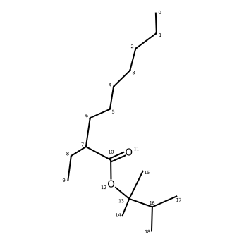 CCCCCCCC(CC)C(=O)OC(C)(C)C(C)C